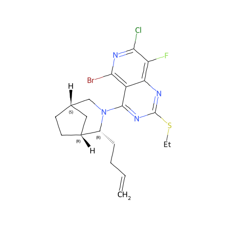 C=CCC[C@@H]1[C@@H]2CC[C@@H](C2)CN1c1nc(SCC)nc2c(F)c(Cl)nc(Br)c12